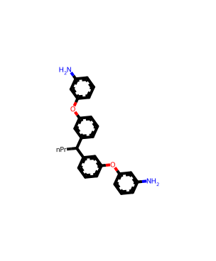 CCCC(c1cccc(Oc2cccc(N)c2)c1)c1cccc(Oc2cccc(N)c2)c1